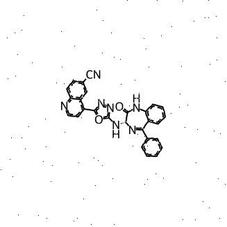 N#Cc1ccc2nccc(-c3nnc(N[C@H]4N=C(c5ccccc5)c5ccccc5NC4=O)o3)c2c1